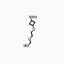 CN[C@H]1C[C@@H](OCCOCC(C)(C)C)C1